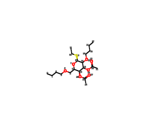 CCCCOCC1O[C@@H](SCC)C(OCCCC)C(OC(C)=O)[C@H]1OC(C)=O